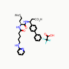 CSCC[C@H](NC(=O)CCCCNc1ccccn1)C(=O)NC(CC(=O)O)c1ccc(-c2ccccc2)cc1.O=C(O)C(F)(F)F